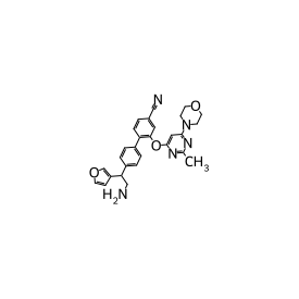 Cc1nc(Oc2cc(C#N)ccc2-c2ccc(C(CN)c3ccoc3)cc2)cc(N2CCOCC2)n1